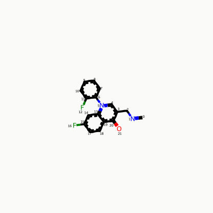 C=NCc1cn(-c2ccccc2F)c2cc(F)ccc2c1=O